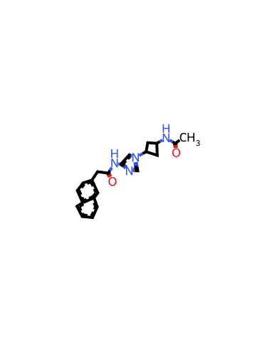 CC(=O)NC1CC(n2cnc(NC(=O)Cc3ccc4ccccc4c3)c2)C1